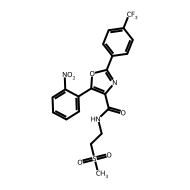 CS(=O)(=O)CCNC(=O)c1nc(-c2ccc(C(F)(F)F)cc2)oc1-c1ccccc1[N+](=O)[O-]